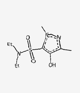 CCN(CC)S(=O)(=O)c1c(O)c(C)nn1C